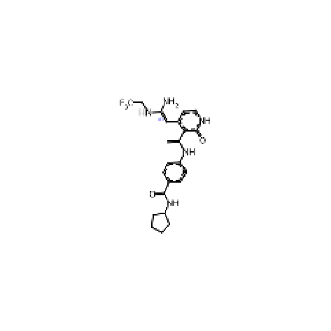 C=C(Nc1ccc(C(=O)NC2CCCC2)cc1)c1c(/C=C(\N)NCC(F)(F)F)cc[nH]c1=O